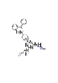 C/C=C/CNc1nc(NC/C=C/C)nc(N2CCC(NCC(c3ccccc3)c3ccccc3)CC2)n1